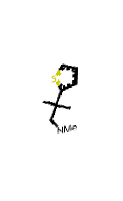 CNCC(C)(C)c1cccs1